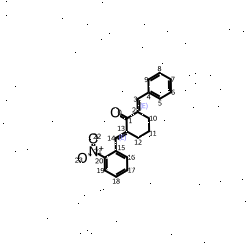 O=C1/C(=C/c2ccccc2)CCC/C1=C\c1ccccc1[N+](=O)[O-]